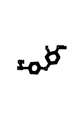 COc1ccc(Oc2ccc(BO)cc2)cc1F